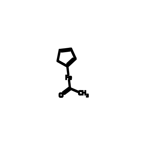 C[C](=O)[Fe][C]1=CC=CC1